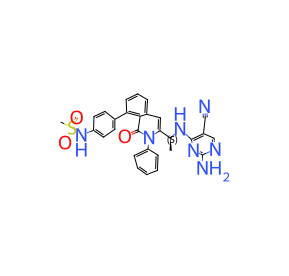 C[C@H](Nc1nc(N)ncc1C#N)c1cc2cccc(-c3ccc(NS(C)(=O)=O)cc3)c2c(=O)n1-c1ccccc1